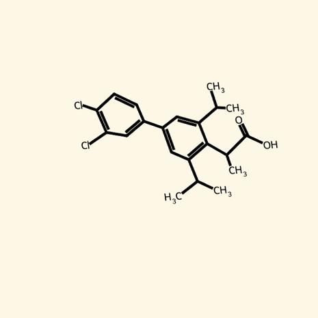 CC(C)c1cc(-c2ccc(Cl)c(Cl)c2)cc(C(C)C)c1C(C)C(=O)O